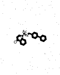 CC(=O)N(N=Cc1ccc(-c2ccccc2)cc1)n1ccc(=O)c2ccccc21